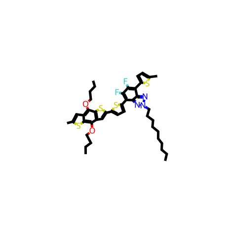 CCCCCCCCCCn1nc2c(-c3ccc(C)s3)c(F)c(F)c(-c3ccc(-c4cc5c(OCCCC)c6sc(C)cc6c(OCCCC)c5s4)s3)c2n1